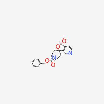 COC1(C)OC2(CC3CCC(C2)N3C(=O)OCc2ccccc2)c2cnccc21